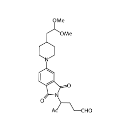 COC(CC1CCN(c2ccc3c(c2)C(=O)N(C(CCC=O)C(C)=O)C3=O)CC1)OC